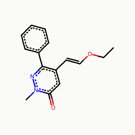 CCOC=Cc1cc(=O)n(C)nc1-c1ccccc1